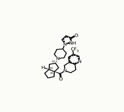 O=C(N1CCc2ncc(C(F)(F)F)cc2C1)[C@@]12CCC[C@@H]1C[C@H](N1CCC(n3ccc(=O)[nH]3)CC1)C2